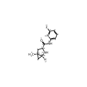 C[C@@]12C[C@@H](C(=O)Nc3cccc(F)n3)N[C@@H]1C2